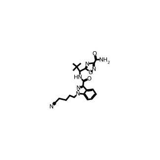 CC(C)(C)C(NC(=O)c1nn(CCCCC#N)c2ccccc12)c1nc(C(N)=O)no1